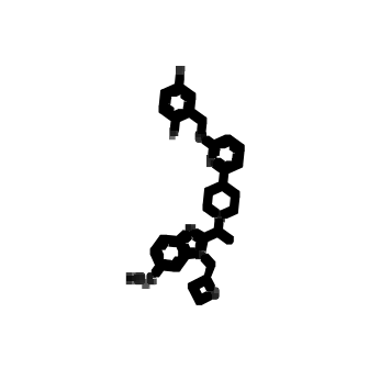 CC(c1nc2ccc(C(=O)O)cc2n1C[C@@H]1CCO1)N1CCC(c2cccc(OCc3cc(F)ccc3F)n2)CC1